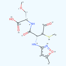 COC[C@H](NC(=O)[C@@H](Nc1cc(C)on1)C(C=O)SC)C(=O)O